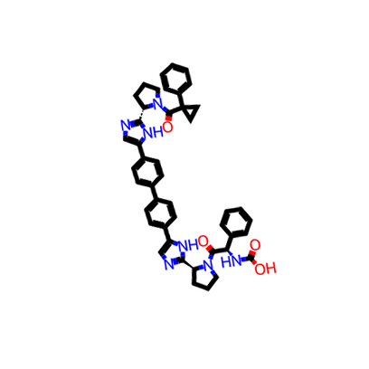 O=C(O)N[C@@H](C(=O)N1CCC[C@H]1c1ncc(-c2ccc(-c3ccc(-c4cnc([C@@H]5CCCN5C(=O)C5(c6ccccc6)CC5)[nH]4)cc3)cc2)[nH]1)c1ccccc1